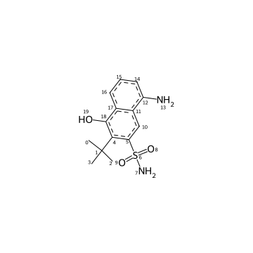 CC(C)(C)c1c(S(N)(=O)=O)cc2c(N)cccc2c1O